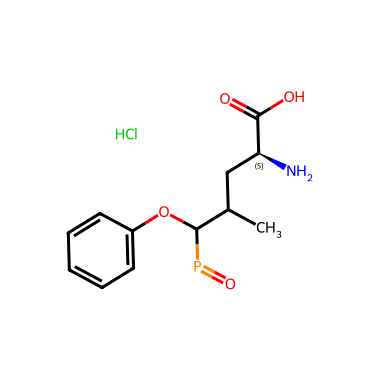 CC(C[C@H](N)C(=O)O)C(Oc1ccccc1)P=O.Cl